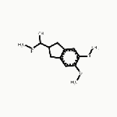 CNC(C)C1Cc2cc(OC)c(OC)cc2C1